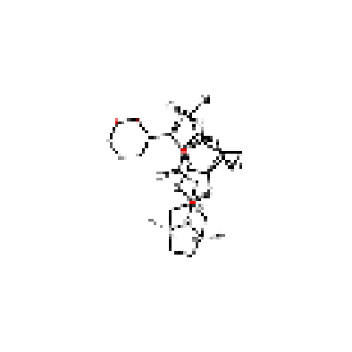 O=C(O)c1cc(F)c2nc(N3[C@@H]4CC[C@H]3C[C@@H](OC(=O)c3c(C56CCC(CC5)CC6)noc3C3CC3)C4)sc2c1